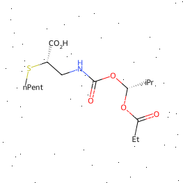 CCCCCS[C@@H](CNC(=O)O[C@@H](OC(=O)CC)C(C)C)C(=O)O